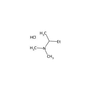 CCC(C)N(C)C.Cl